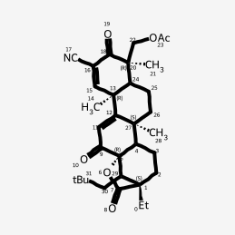 CC[C@@]12CCC3[C@](OC1=O)(C(=O)C=C1[C@@]4(C)C=C(C#N)C(=O)[C@@](C)(COC(C)=O)C4CC[C@]13C)C2CC(C)(C)C